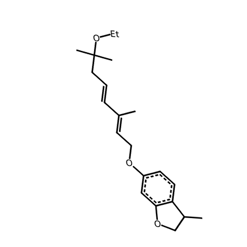 CCOC(C)(C)C/C=C/C(C)=C/COc1ccc2c(c1)OCC2C